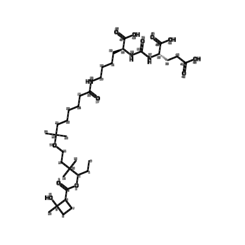 CCC(OC(=O)C1CCC1(C)O)C(C)(C)CCOC(C)(C)CCCCCC(=O)NCCCC[C@H](NC(=O)N[C@@H](CCC(=O)O)C(=O)O)C(=O)O